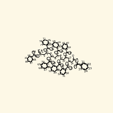 CCC(CC(CC(CC(CC(CC(CC(CC(C)OC(=O)c1ccccc1)OC(=O)c1ccccc1)OC(=O)c1ccccc1)OC(=O)c1ccccc1)OC(=O)c1ccccc1)OC(=O)c1ccccc1)OC(=O)c1ccccc1)OC(=O)c1ccccc1